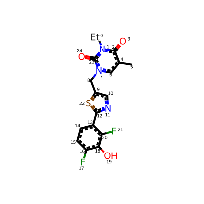 CCn1c(=O)c(C)cn(Cc2cnc(-c3ccc(F)c(O)c3F)s2)c1=O